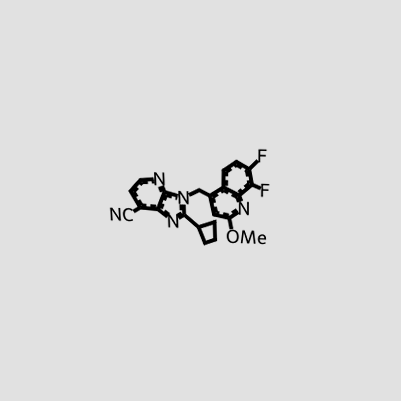 COc1cc(Cn2c(C3CCC3)nc3c(C#N)ccnc32)c2ccc(F)c(F)c2n1